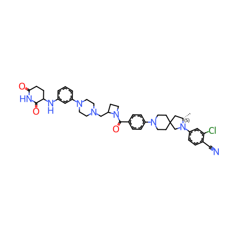 C[C@H]1CC2(CCN(c3ccc(C(=O)N4CCC4CN4CCN(c5cccc(NC6CCC(=O)NC6=O)c5)CC4)cc3)CC2)CN1c1ccc(C#N)c(Cl)c1